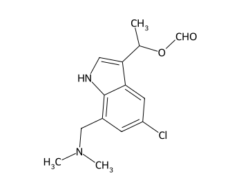 CC(OC=O)c1c[nH]c2c(CN(C)C)cc(Cl)cc12